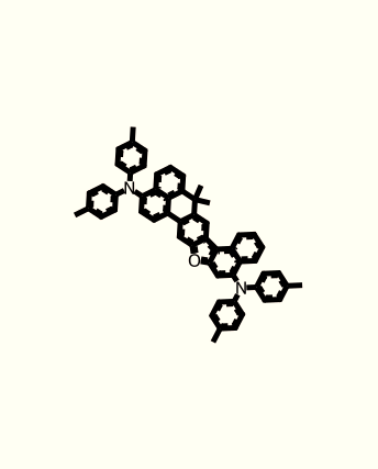 Cc1ccc(N(c2ccc(C)cc2)c2ccc3c4c(cccc24)C(C)(C)c2cc4c(cc2-3)oc2cc(N(c3ccc(C)cc3)c3ccc(C)cc3)c3ccccc3c24)cc1